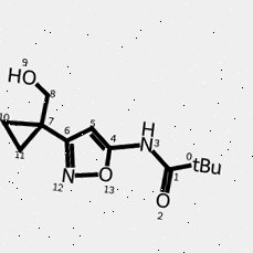 CC(C)(C)C(=O)Nc1cc(C2(CO)CC2)no1